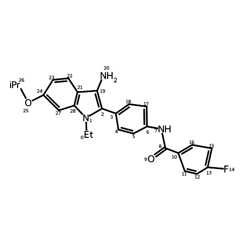 CCn1c(-c2ccc(NC(=O)c3ccc(F)cc3)cc2)c(N)c2ccc(OC(C)C)cc21